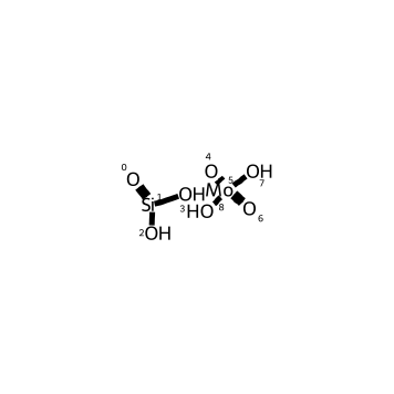 O=[Si](O)O.[O]=[Mo](=[O])([OH])[OH]